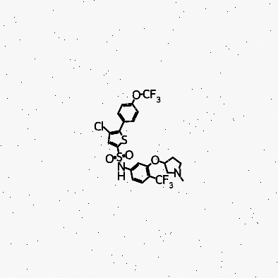 CN1CCC(Oc2cc(NS(=O)(=O)c3cc(Cl)c(-c4ccc(OC(F)(F)F)cc4)s3)ccc2C(F)(F)F)C1